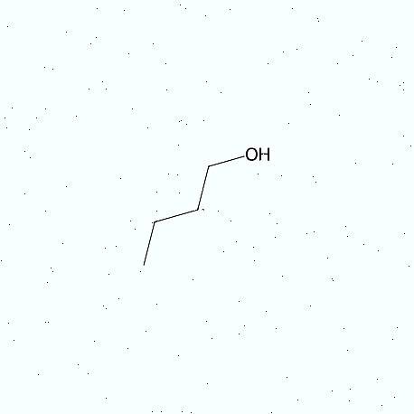 CC[CH]CO